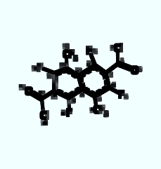 O=C(Cl)c1c(F)c(C(F)(F)F)c2c(F)c(C(=O)Cl)c(F)c(C(F)(F)F)c2c1F